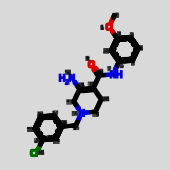 COc1cccc(NC(=O)C2=C(N)CN(Cc3cccc(Cl)c3)CC2)c1